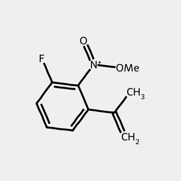 C=C(C)c1cccc(F)c1[N+](=O)OC